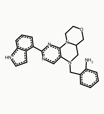 Nc1ccccc1CN1CC2COCCN2c2nc(-c3cccc4[nH]ccc34)ncc21